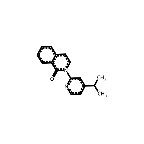 CC(C)c1ccnc(-n2ccc3ccccc3c2=O)c1